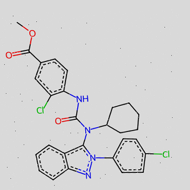 COC(=O)c1ccc(NC(=O)N(c2c3ccccc3nn2-c2ccc(Cl)cc2)C2CCCCC2)c(Cl)c1